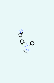 Fc1ccc(CN(Cc2cc(-c3ccc4[nH]ncc4c3)ccc2F)C[C@@H]2CCCN2)cc1